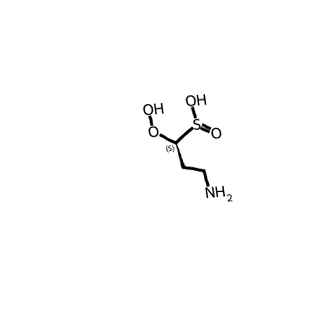 NCC[C@@H](OO)S(=O)O